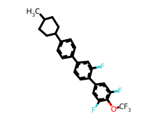 CC1CCC(c2ccc(-c3ccc(-c4cc(F)c(OC(F)(F)F)c(F)c4)c(F)c3)cc2)CC1